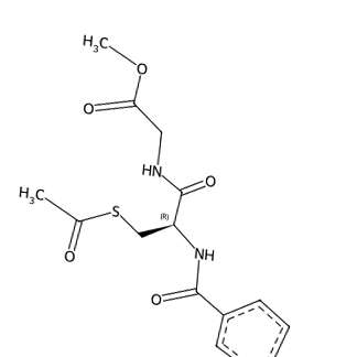 COC(=O)CNC(=O)[C@H](CSC(C)=O)NC(=O)c1ccccc1